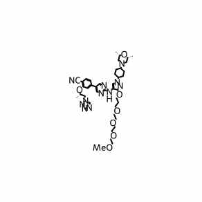 COCCOCCOCCOCCCOc1nn(C2CCC(N3C[C@@H](C)O[C@@H](C)C3)CC2)cc1Nc1ncc(-c2ccc(C#N)c(O[C@@H](C)Cn3cnnn3)c2)cn1